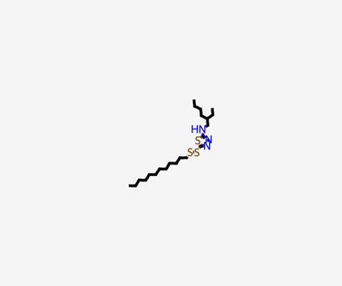 CCCCCCCCCCCCSSc1nnc(NCC(CC)CCCC)s1